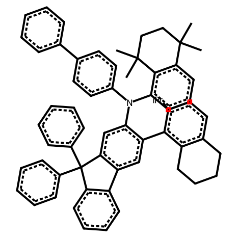 CC(C)c1ccc2c(c1-c1cc3c(cc1N(c1ccc(-c4ccccc4)cc1)c1cccc4c1C(C)(C)CCC4(C)C)C(c1ccccc1)(c1ccccc1)c1ccccc1-3)CCCC2